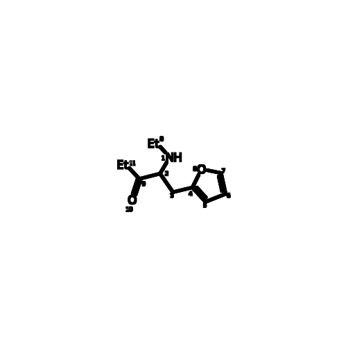 CCNC(Cc1ccco1)C(=O)CC